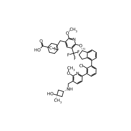 COc1nc(-c2cccc(-c3cccc4c3CC[C@@H]4Oc3nc(OC)c(CN4CC5(C(=O)O)CCC4CC5)cc3C(F)(F)F)c2Cl)ccc1CN[C@H]1C[C@](C)(O)C1